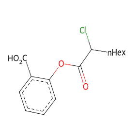 CCCCCCC(Cl)C(=O)Oc1ccccc1C(=O)O